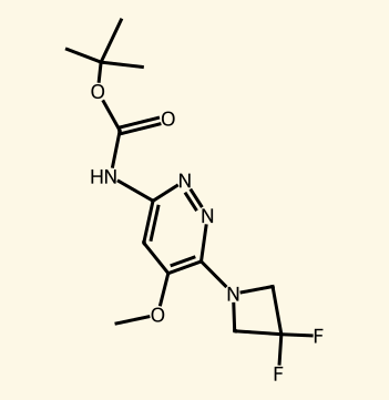 COc1cc(NC(=O)OC(C)(C)C)nnc1N1CC(F)(F)C1